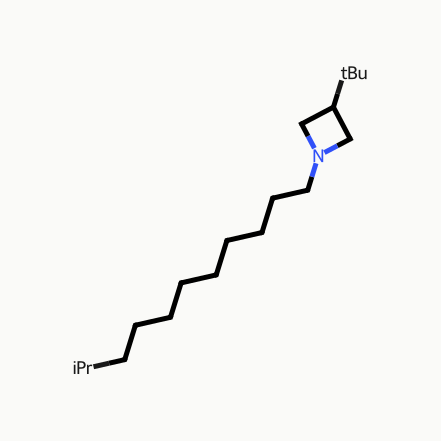 CC(C)CCCCCCCCCN1CC(C(C)(C)C)C1